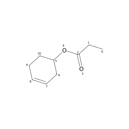 CCC(=O)OC1CC=CCC1